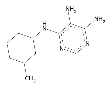 CC1CCCC(Nc2ncnc(N)c2N)C1